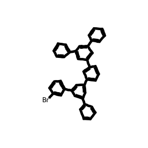 Brc1cccc(-c2cc(-c3ccccc3)cc(-c3cccc(-c4cc(-c5ccccc5)cc(-c5ccccc5)c4)c3)c2)c1